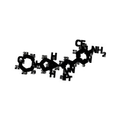 CC(C)n1nc(-c2cnc(N)c(C(F)(F)F)c2)cc1[C@H]1[C@@H]2C[C@@H](N3CCCOCC3)C[C@@H]21